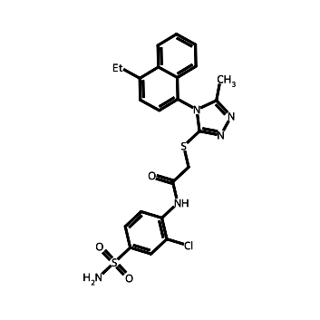 CCc1ccc(-n2c(C)nnc2SCC(=O)Nc2ccc(S(N)(=O)=O)cc2Cl)c2ccccc12